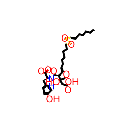 CCCCCCCS(=O)(=O)CCCCCC/C=C/[C@H](C(=O)N[C@@H](Cc1ccc(O)cc1)C(=O)OC)[C@@](O)(CCOC)C(=O)O